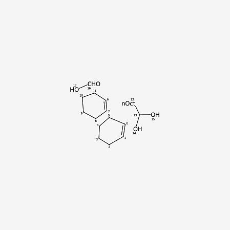 C1=CCCCC1.C1=CCCCC1.CCCCCCCCC(O)O.O=CO